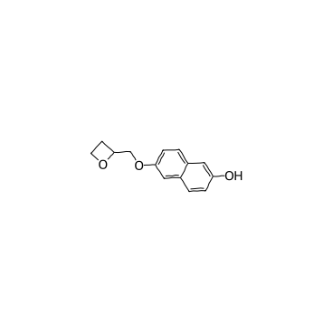 Oc1ccc2cc(OCC3CCO3)ccc2c1